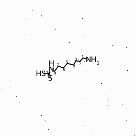 NCCCCCCCCNC(=S)S